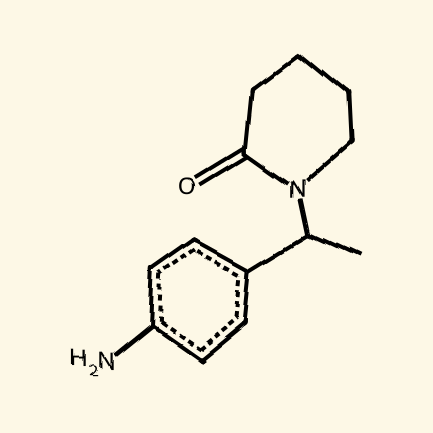 CC(c1ccc(N)cc1)N1CCCCC1=O